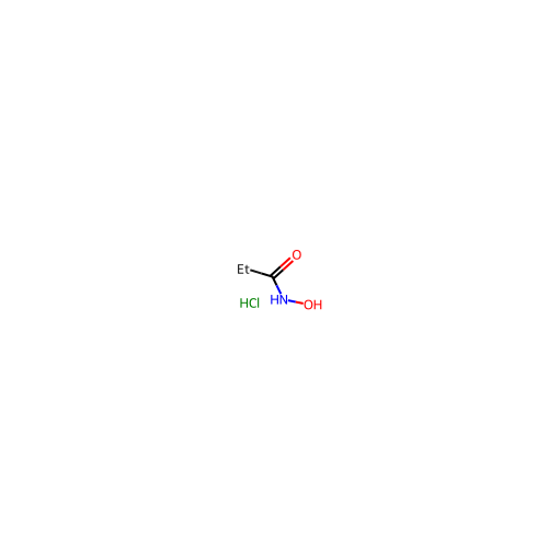 CCC(=O)NO.Cl